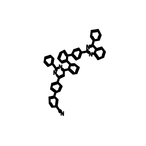 N#Cc1cccc(-c2ccc(-c3cc(-c4ccccc4-c4ccccc4-c4ccc(-c5nc(-c6ccccc6)c6ccccc6n5)cc4)nc(-c4ccccc4)n3)cc2)c1